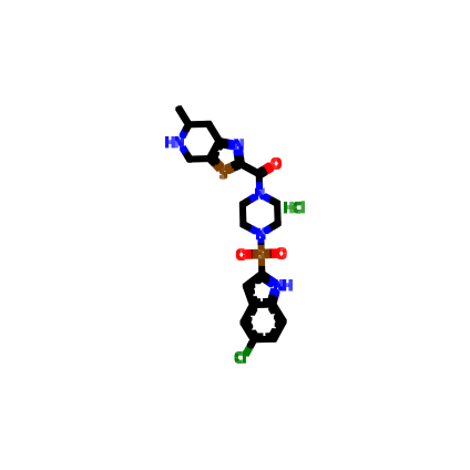 CC1Cc2nc(C(=O)N3CCN(S(=O)(=O)c4cc5cc(Cl)ccc5[nH]4)CC3)sc2CN1.Cl